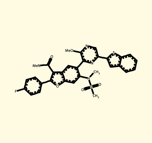 CNC(=O)c1c(-c2ccc(F)cc2)oc2cc(N(C)S(C)(=O)=O)c(-c3nc(-c4cc5ccccc5s4)cnc3OC)cc12